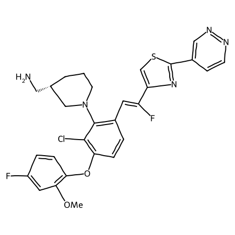 COc1cc(F)ccc1Oc1ccc(/C=C(\F)c2csc(-c3ccnnc3)n2)c(N2CCC[C@@H](CN)C2)c1Cl